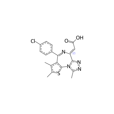 Cc1sc2c(c1C)C(c1ccc(Cl)cc1)=N/C(=C\C(=O)O)c1nnc(C)n1-2